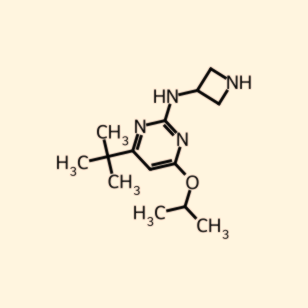 CC(C)Oc1cc(C(C)(C)C)nc(NC2CNC2)n1